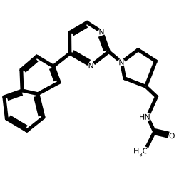 CC(=O)NCC1CCN(c2nccc(-c3ccc4ccccc4c3)n2)C1